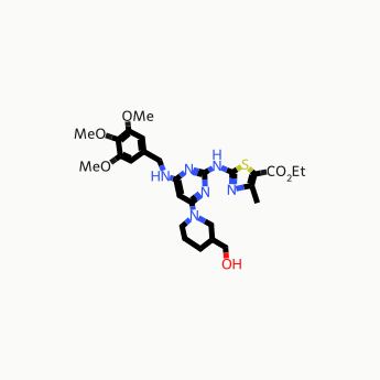 CCOC(=O)c1sc(Nc2nc(NCc3cc(OC)c(OC)c(OC)c3)cc(N3CCCC(CO)C3)n2)nc1C